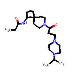 CCC(=O)NC1CCC12CCN(C(=O)CCN1CCN(C(C)C)CC1)CC2